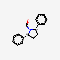 O=CN1[C@@H](c2ccccc2)CC[C@@H]1c1ccccc1